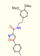 COc1ccc(CCNC(=O)c2cc(-c3ccc(C)cc3)on2)cc1OC